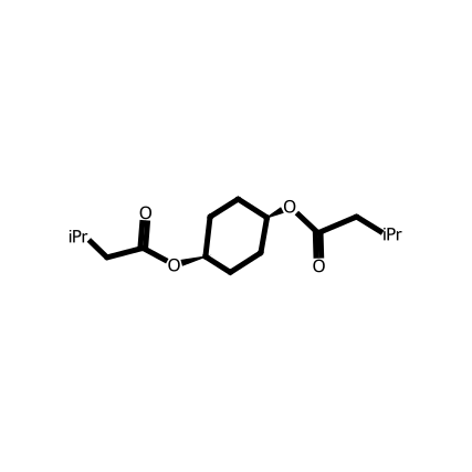 CC(C)CC(=O)O[C@H]1CC[C@@H](OC(=O)CC(C)C)CC1